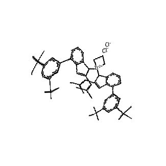 CC(C)CC1=Cc2c(-c3cc(C(C)(C)C)cc(C(C)(C)C)c3)cccc2[CH]1[Zr+2]1([CH]2C(CC(C)C)=Cc3c(-c4cc(C(C)(C)C)cc(C(C)(C)C)c4)cccc32)[CH2]C[CH2]1.[Cl-].[Cl-]